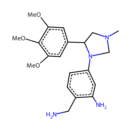 COc1cc(C2CN(C)CN2c2ccc(CN)c(N)c2)cc(OC)c1OC